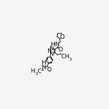 CCCc1c(C(=O)NCC2CCCO2)nnn1-c1ccc(C(=O)NCC)cc1